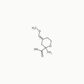 CO/C=C1\CCOC(C)(C(=O)O)C1